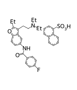 CCc1oc2ccc(NC(=O)c3ccc(F)cc3)cc2c1CCN(CC)CC.O=S(=O)(O)c1cccc2ccccc12